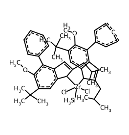 COc1c(C(C)(C)C)cc2c(c1-c1ccccc1)C=C(CC(C)C)[CH]2[Zr]([SiH3])([Cl])([Cl])[CH]1C(CC(C)C)=Cc2c1cc(C(C)(C)C)c(OC)c2-c1ccccc1